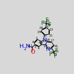 NC(=O)c1ccc2c(c1)c1nc(C(F)(F)F)ccc1n2-c1ccc(C(F)(F)F)cc1